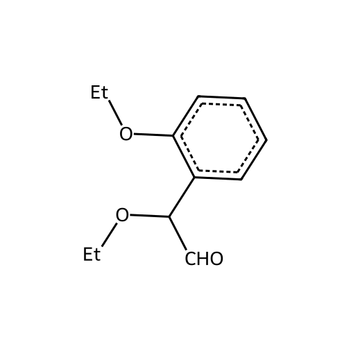 CCOc1ccccc1C(C=O)OCC